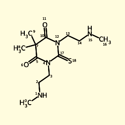 CNCCN1C(=O)C(C)(C)C(=O)N(CCNC)C1=S